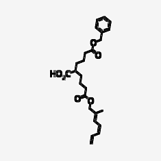 C=C/C=C\C=C(/C)COC(=O)CCCC(CCCC(=O)OCc1ccccc1)C(=O)O